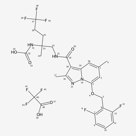 Cc1cc(OCc2c(F)cccc2F)n2nc(C)c(C(=O)NCC(C)(CCC(F)(F)F)NC(=O)O)c2c1.O=C(O)C(F)(F)F